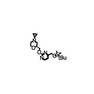 CC(C)(C)[Si](C)(C)OCc1ccnc(OC[C@@H]2CN(C3CC3)CCO2)n1